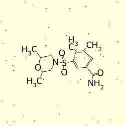 Cc1cc(C(N)=O)cc(S(=O)(=O)N2CC(C)OC(C)C2)c1C